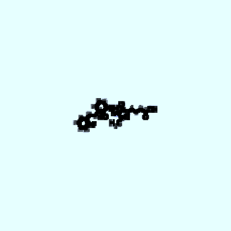 CC1=NN(CCCC(=O)O)C(=O)/C1=N\NC1CC=CC(CCc2ccccc2F)=C1O